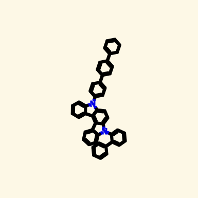 C1=CCCC(c2ccc(-c3ccc(-n4c5ccccc5c5c6c7ccccc7n(-c7ccccc7-c7ccccc7)c6ccc54)cc3)cc2)=C1